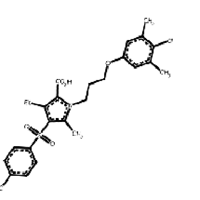 CCc1c(S(=O)(=O)c2ccc(C)cc2)c(C)n(CCCOc2cc(C)c(Cl)c(C)c2)c1C(=O)O